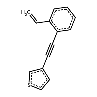 C=Cc1ccccc1C#Cc1ccsc1